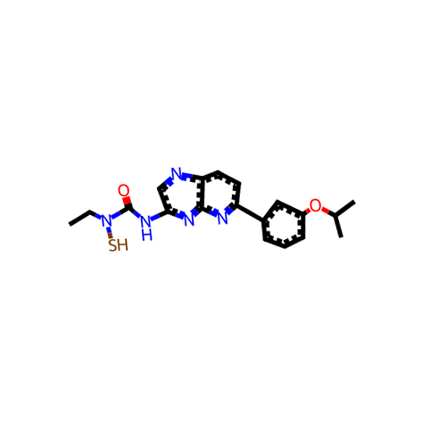 CCN(S)C(=O)Nc1cnc2ccc(-c3cccc(OC(C)C)c3)nc2n1